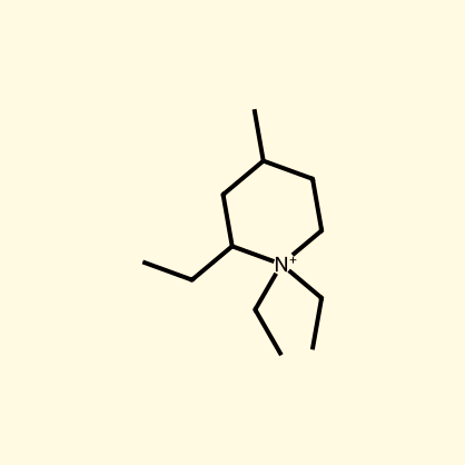 CCC1CC(C)CC[N+]1(CC)CC